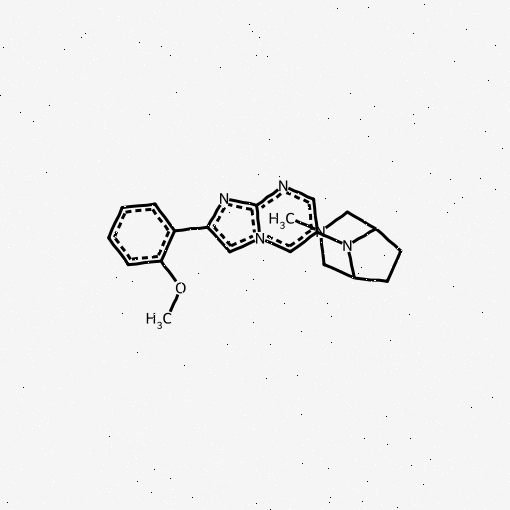 COc1ccccc1-c1cn2cc(N3C4CCC3CN(C)C4)cnc2n1